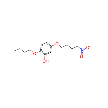 CCCCOc1ccc(OCCCC[N+](=O)[O-])cc1O